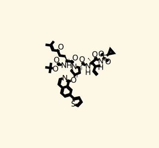 C=CC(C)[C@@](C)(NC(=O)[C@@H]1C[C@@H](Oc2nccc3ccc(-c4cccs4)cc23)CN1C(=O)[C@H](CCC(=O)C=C(C)C)NC(=O)OC(C)(C)C)C(=O)NS(=O)(=O)C1CC1